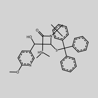 COc1ccc(C(O)C2([SiH](C)C)C(=O)N(C(C)(C)C)C2SC(c2ccccc2)(c2ccccc2)c2ccccc2)cn1